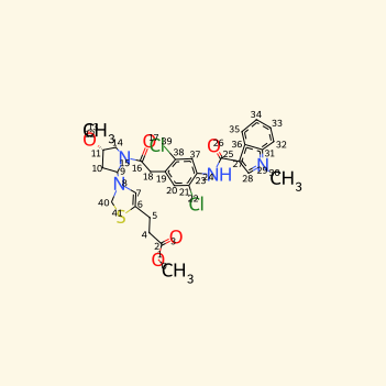 COC(=O)CCC1=CN(C2C[C@H](OC)CN2C(=O)Cc2cc(Cl)c(NC(=O)c3cn(C)c4ccccc34)cc2Cl)CS1